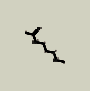 CNSCCNC(C)=O